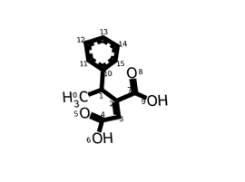 CC(/C(=C\C(=O)O)C(=O)O)c1ccccc1